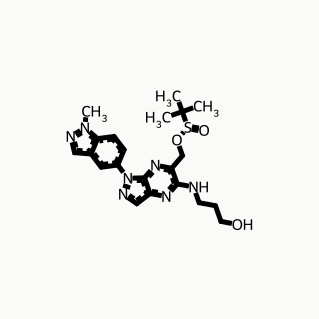 Cn1ncc2cc(-n3ncc4nc(NCCCO)c(COS(=O)C(C)(C)C)nc43)ccc21